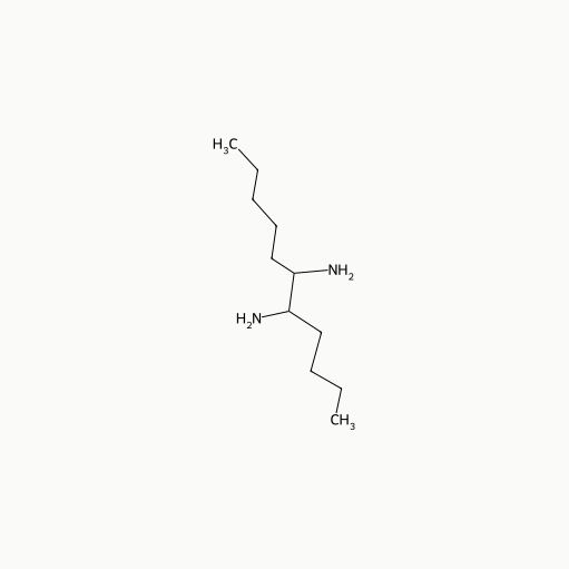 CCCCCC(N)C(N)CCCC